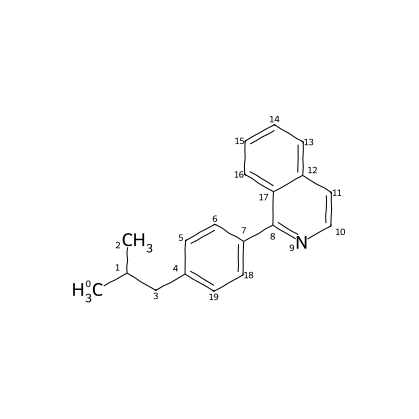 CC(C)Cc1ccc(-c2nccc3ccccc23)cc1